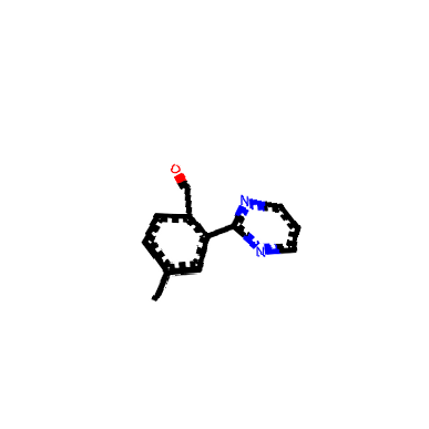 Cc1ccc(C=O)c(-c2ncccn2)c1